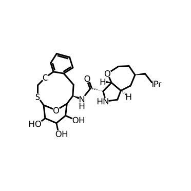 CC(C)C[C@@H]1CCO[C@@H]2[C@H](CN[C@@H]2C(=O)N[C@@H]2Cc3ccccc3CCSC3OC2C(O)C(O)C3O)C1